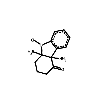 BC12CCCC(=O)C1(N)c1ccccc1B2Cl